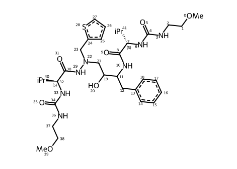 COCCNC(=O)N[C@H](C(=O)NC(Cc1ccccc1)C(O)CN(Cc1cccs1)NC(=O)[C@@H](NC(=O)NCCOC)C(C)C)C(C)C